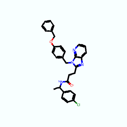 CC(NC(=O)CCc1nc2cccnc2n1Cc1ccc(OCc2ccccc2)cc1)c1ccc(Cl)cc1